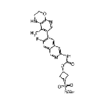 CNS(=O)(=O)N1CC(OC(=O)Nc2cc3cc(-c4cnc5c(c4C)NCCO5)c(F)cc3cn2)C1